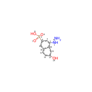 NNc1cc(S(=O)(=O)O)cc2ccc(O)cc12